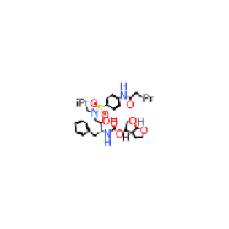 CC(C)CC(=O)Nc1ccc(S(=O)(=O)N(CC(C)C)C[C@@H](O)[C@H](Cc2ccccc2)NC(=O)O[C@H]2CO[C@H]3OCC[C@H]32)cc1